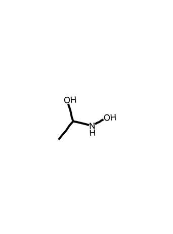 CC(O)NO